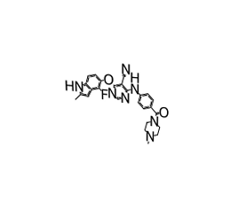 Cc1cc2c(F)c(Oc3ncnc(Nc4ccc(C(=O)N5CCN(C)CC5)cc4)c3C#N)ccc2[nH]1